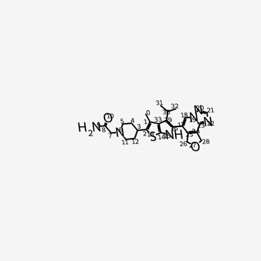 Cc1c(C2CCN(CC(N)=O)CC2)sc2[nH]c(-c3cn4ncnc4c4c3COC4)c(C(C)C)c12